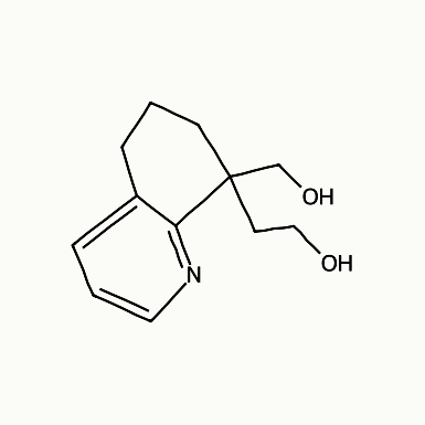 OCCC1(CO)CCCc2cccnc21